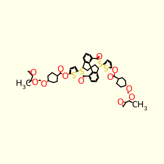 CC(OCOC1CCC(C(=O)Oc2ccc(SC(=O)c3cccc4c3C3(CC4)CCc4cccc(C(=O)Sc5ccc(OC(=O)C6CCC(OCOC(C)C7CO7)CC6)s5)c43)s2)CC1)C1CO1